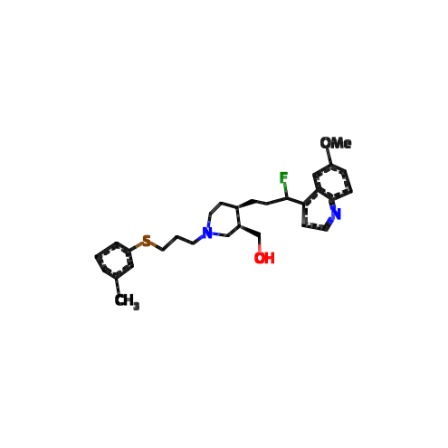 COc1ccc2nccc(C(F)CC[C@@H]3CCN(CCCSc4cccc(C)c4)C[C@@H]3CO)c2c1